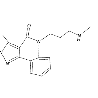 CNCCCn1c(=O)c2c(C)[nH]nc2c2ccccc21